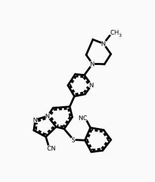 CN1CCN(c2ccc(-c3cc(Sc4ccccc4C#N)c4c(C#N)cnn4c3)cn2)CC1